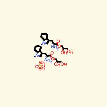 Cn1cc(C[C@@H](N)C(=O)OCC(O)CO)c2ccccc21.Cn1cc(C[C@@H](N)C(=O)OCC(O)CO)c2ccccc21.O=S(=O)(O)O